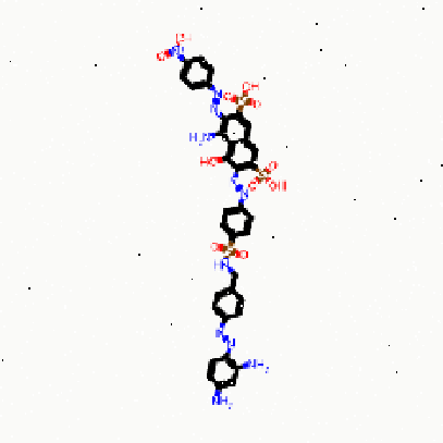 Nc1ccc(/N=N/c2ccc(CNS(=O)(=O)c3ccc(/N=N/c4c(S(=O)(=O)O)cc5cc(S(=O)(=O)O)c(/N=N/c6ccc([N+](=O)O)cc6)c(N)c5c4O)cc3)cc2)c(N)c1